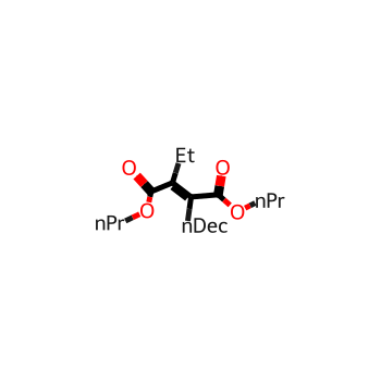 CCCCCCCCCCC(C(=O)OCCC)=C(CC)C(=O)OCCC